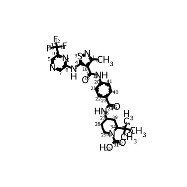 Cc1nsc(Nc2cncc(C(F)(F)F)n2)c1C(=O)Nc1ccc(C(=O)NC2CCN(C(=O)O)C(C(C)(C)C)C2)cc1